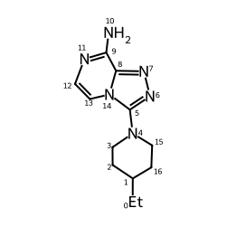 CCC1CCN(c2nnc3c(N)nccn23)CC1